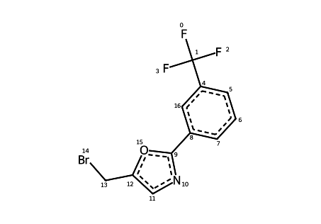 FC(F)(F)c1cccc(-c2ncc(CBr)o2)c1